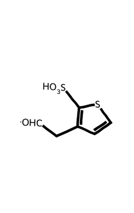 O=[C]Cc1ccsc1S(=O)(=O)O